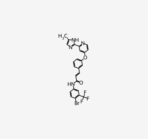 Cc1cnc(-c2cc(Oc3cccc(C=CC(=O)Nc4ccc(Br)c(C(F)(F)F)c4)c3)ccn2)[nH]1